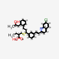 CCC(CSC(CCc1ccccc1CC(C)O)c1cccc(C=Cc2ccc3ccc(Cl)cc3n2)c1)C(=O)O